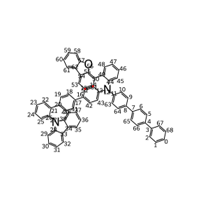 c1ccc(-c2ccc(-c3ccc(N(c4ccc(-c5ccc(-c6ccccc6-n6c7ccccc7c7ccccc76)cc5)cc4)c4ccccc4-c4cccc5c4oc4ccccc45)cc3)cc2)cc1